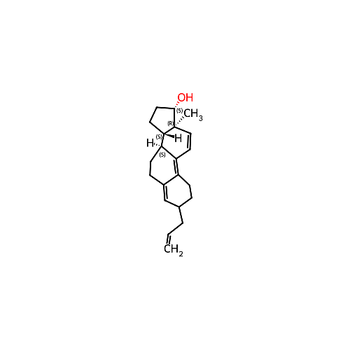 C=CCC1C=C2CC[C@@H]3C(=C2CC1)C=C[C@]1(C)[C@@H](O)CC[C@@H]31